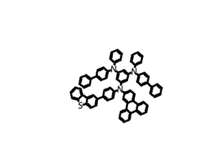 c1ccc(-c2ccc(N(c3ccccc3)c3cc(N(c4ccccc4)c4ccc(-c5ccccc5)cc4)cc(N(c4ccc(-c5ccc6sc7ccccc7c6c5)cc4)c4ccc5c6ccccc6c6ccccc6c5c4)c3)cc2)cc1